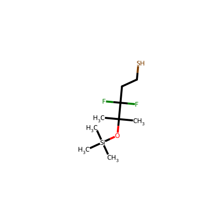 CC(C)(O[Si](C)(C)C)C(F)(F)CCS